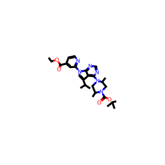 CCOC(=O)c1ccnc(-n2cc(C(C)C)c3c(N4CC(C)N(C(=O)OC(C)(C)C)CC4C)ncnc32)c1